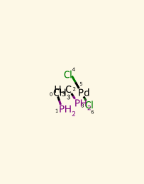 CP.CP.[Cl][Pd][Cl]